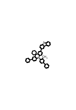 Cc1cc(-c2ccccc2)ccc1N1c2ccc(-c3ccccc3)cc2C2(CCCCC2)c2cc(-c3ccc4sc5ccccc5c4c3)ccc21